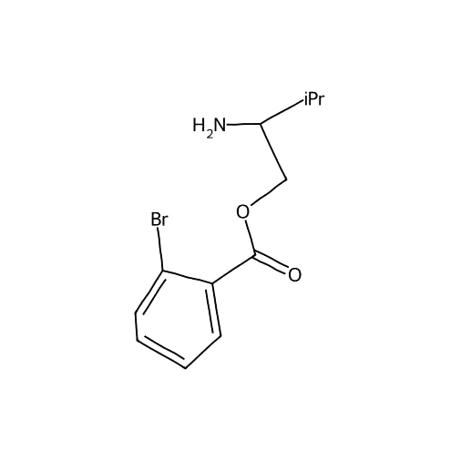 CC(C)C(N)COC(=O)c1ccccc1Br